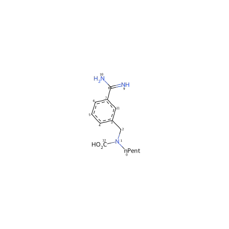 CCCCCN(Cc1cccc(C(=N)N)c1)C(=O)O